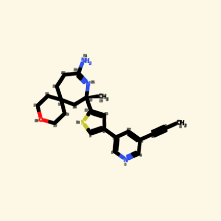 CC#Cc1cncc(-c2csc([C@]3(C)CC4(CCOCC4)CCC(N)=N3)c2)c1